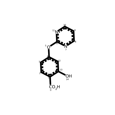 O=C(O)c1ccc(Oc2ncccn2)cc1O